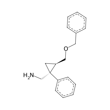 NC[C@]1(c2ccccc2)C[C@H]1COCc1ccccc1